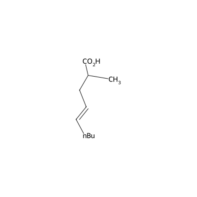 CCCCC=CCC(C)C(=O)O